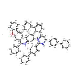 c1ccc(-c2ccc(-c3cc(-c4cccc(-c5cccc(-c6c7c(cc8c(-c9ccccc9)nc9ccccc9c68)oc6ccccc67)c5)c4)nc(-c4ccc(-c5ccccc5)cc4)n3)cc2)cc1